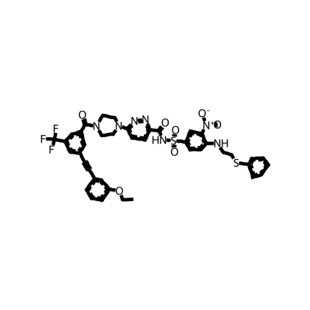 CCOc1cccc(C#Cc2cc(C(=O)N3CCN(c4ccc(C(=O)NS(=O)(=O)c5ccc(NCCSc6ccccc6)c([N+](=O)[O-])c5)nn4)CC3)cc(C(F)(F)F)c2)c1